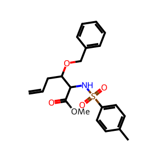 C=CCC(OCc1ccccc1)C(NS(=O)(=O)c1ccc(C)cc1)C(=O)OC